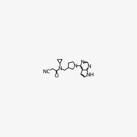 N#CCC(=O)N(CC1CCN(c2ncnc3[nH]ccc23)C1)C1CC1